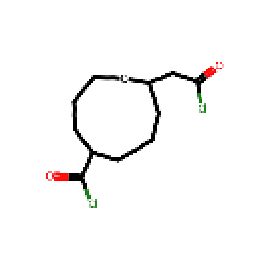 O=C(Cl)CC1CCCCC(C(=O)Cl)CCC1